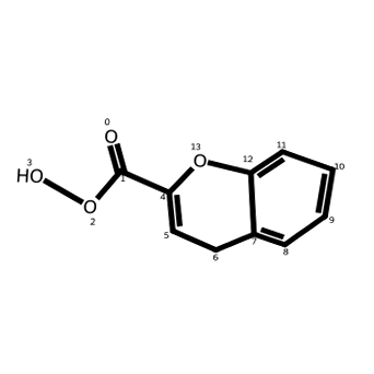 O=C(OO)C1=CCc2ccccc2O1